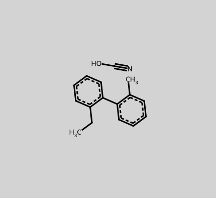 CCc1ccccc1-c1ccccc1C.N#CO